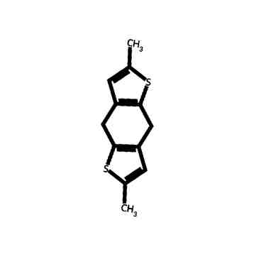 Cc1cc2c(s1)Cc1cc(C)sc1C2